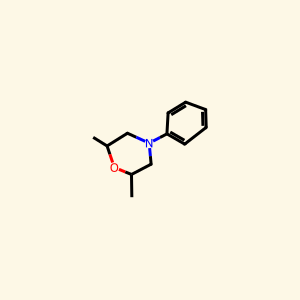 CC1CN(c2ccccc2)CC(C)O1